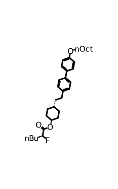 CCCCCCCCOc1ccc(-c2ccc(CC[C@H]3CC[C@H](OC(=O)[C@@H](F)CCCC)CC3)cc2)cc1